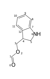 O=COCC1CNc2ccccc21